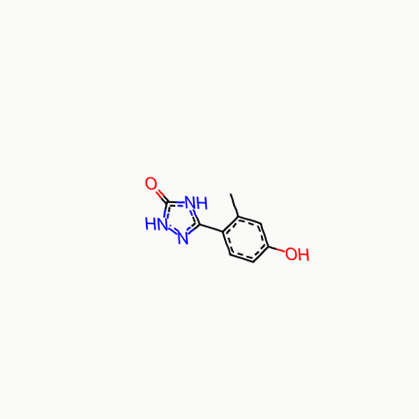 Cc1cc(O)ccc1-c1n[nH]c(=O)[nH]1